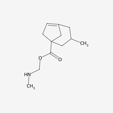 CNCOC(=O)C12CC=C(CC(C)C1)C2